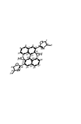 CC1COC(c2cc3ccccc3c(-c3c(O)c(C4=NC(C)CO4)cc4ccccc34)c2O)=N1